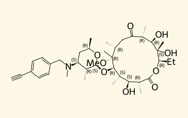 C#Cc1ccc(CN(C)[C@H]2C[C@@H](C)O[C@@H](O[C@@H]3[C@@H](C)[C@H](O)[C@@H](C)C(=O)O[C@H](CC)[C@@](C)(O)[C@H](O)[C@@H](C)C(=O)C[C@@H](C)[C@@]3(C)OC)[C@@H]2C)cc1